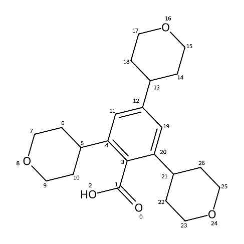 O=C(O)c1c(C2CCOCC2)cc(C2CCOCC2)cc1C1CCOCC1